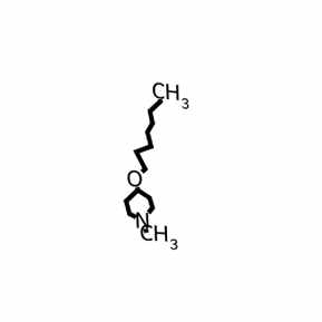 CCCCCCCCOC1CCN(C)CC1